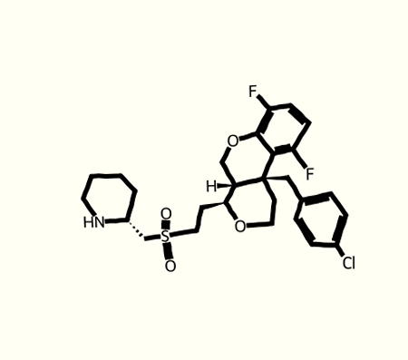 O=S(=O)(CC[C@@H]1OCC[C@@]2(Cc3ccc(Cl)cc3)c3c(F)ccc(F)c3OC[C@@H]12)C[C@H]1CCCCN1